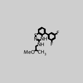 COC(C)CNC1=NSc2cccc(-c3cc(F)cc(F)c3)c2N1